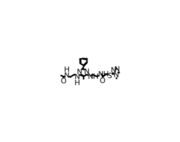 CC(=O)NCCNc1nc(-c2ccccc2)nc(NCCNC(=O)CSc2nncn2C)c1C